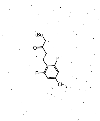 Cc1cc(F)c(CCC(=O)CC(C)(C)C)c(F)c1